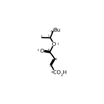 CCC(C)C(C)OC(=O)C=CC(=O)O